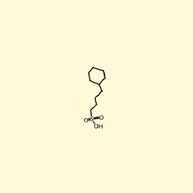 O=S(=O)(O)CCCC[C]1CCCCC1